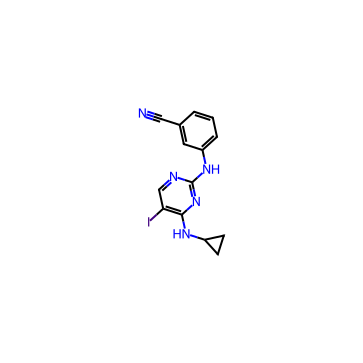 N#Cc1cccc(Nc2ncc(I)c(NC3CC3)n2)c1